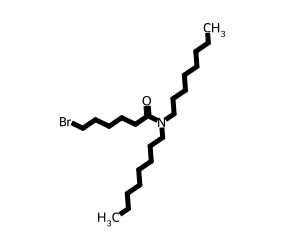 CCCCCCCCN(CCCCCCCC)C(=O)CCCCCBr